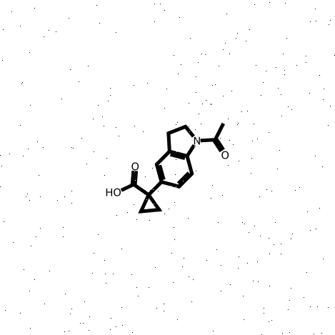 CC(=O)N1CCc2cc(C3(C(=O)O)CC3)ccc21